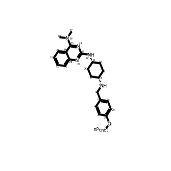 CCCCCOc1ccc(CN[C@H]2CC[C@@H](Nc3nc(N(C)C)c4ccccc4n3)CC2)cc1